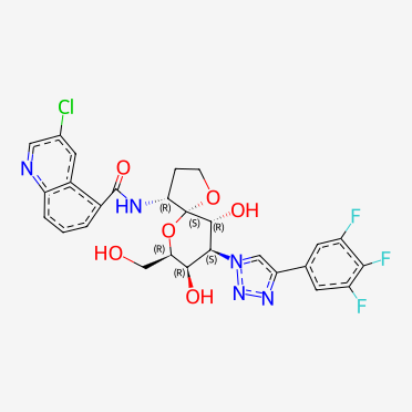 O=C(N[C@@H]1CCO[C@]12O[C@H](CO)[C@H](O)[C@H](n1cc(-c3cc(F)c(F)c(F)c3)nn1)[C@H]2O)c1cccc2ncc(Cl)cc12